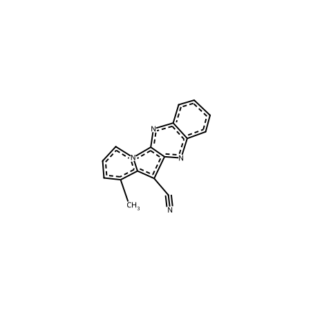 Cc1cccn2c1c(C#N)c1nc3ccccc3nc12